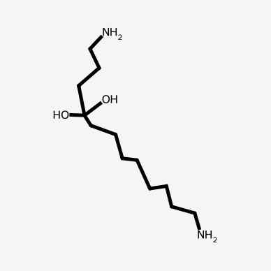 NCCCCCCCCC(O)(O)CCCN